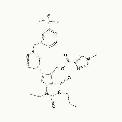 CCCn1c(=O)c2c(cc(-c3cnn(Cc4cccc(C(F)(F)F)c4)c3)n2COC(=O)c2cn(C)cn2)n(CC)c1=O